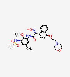 COc1c(NC(=O)C(=NO)c2ccc(OCCN3CCOCC3)c3ccccc23)cc(C)cc1NS(C)(=O)=O